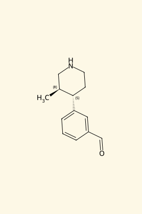 C[C@H]1CNCC[C@@H]1c1cccc(C=O)c1